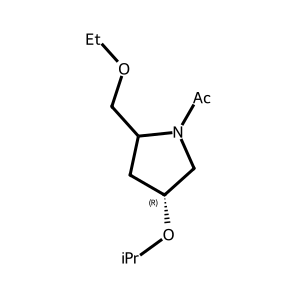 CCOCC1C[C@@H](OC(C)C)CN1C(C)=O